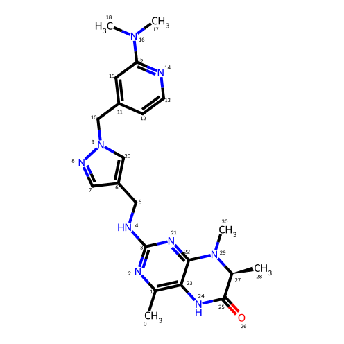 Cc1nc(NCc2cnn(Cc3ccnc(N(C)C)c3)c2)nc2c1NC(=O)[C@H](C)N2C